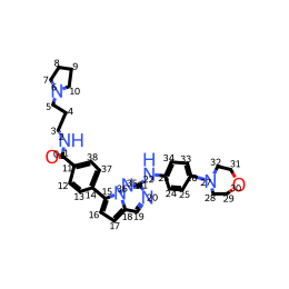 O=C(NCCCN1CCCC1)c1ccc(-c2ccc3cnc(Nc4ccc(N5CCOCC5)cc4)nn23)cc1